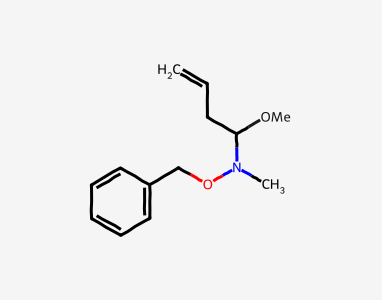 C=CCC(OC)N(C)OCc1ccccc1